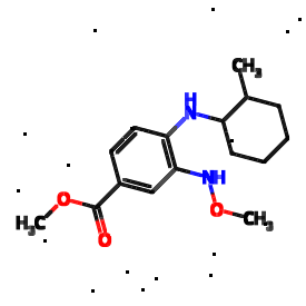 CONc1cc(C(=O)OC)ccc1NC1CCCCC1C